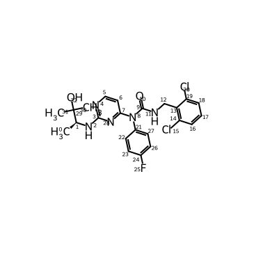 C[C@H](Nc1nccc(N(C(=O)NCc2c(Cl)cccc2Cl)c2ccc(F)cc2)n1)C(C)(C)O